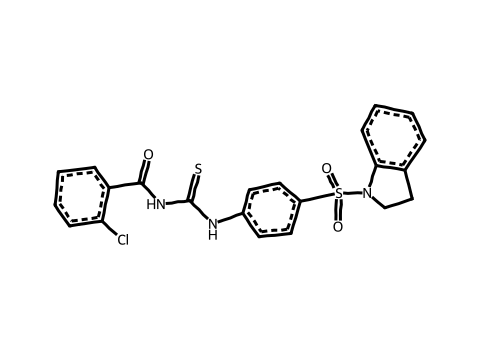 O=C(NC(=S)Nc1ccc(S(=O)(=O)N2CCc3ccccc32)cc1)c1ccccc1Cl